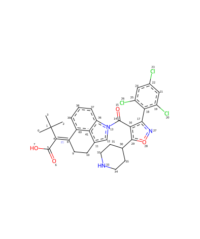 CC(C)(C)/C(C(=O)O)=C1/CCc2cn(C(=O)c3c(-c4c(Cl)cc(Cl)cc4Cl)noc3C3CCNCC3)c3cccc1c23